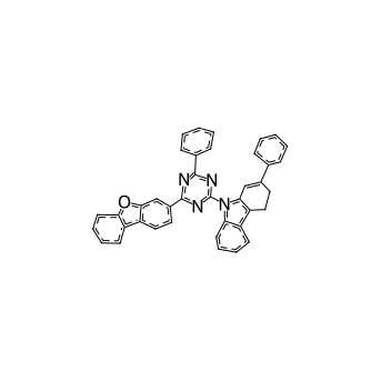 C1=C(c2ccccc2)CCc2c1n(-c1nc(-c3ccccc3)nc(-c3ccc4c(c3)oc3ccccc34)n1)c1ccccc21